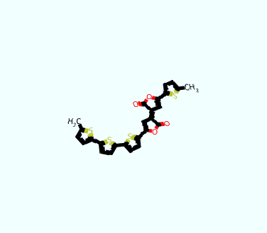 Cc1ccc(C2=C/C(=C3/C=C(c4ccc(-c5ccc(-c6ccc(C)s6)s5)s4)OC3=O)C(=O)O2)s1